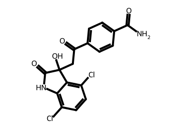 NC(=O)c1ccc(C(=O)CC2(O)C(=O)Nc3c(Cl)ccc(Cl)c32)cc1